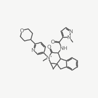 Cn1nccc1C(=O)NC1C(=O)[N+](C)(c2ccc(C3CCOCC3)nc2)C2CC23Cc2ccccc2C13